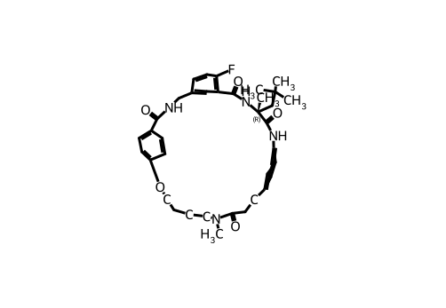 CN1CCCCOc2ccc(cc2)C(=O)NCc2ccc(F)c(c2)C(=O)N[C@](C)(CC(C)(C)C)C(=O)Nc2ccc(cc2)CCC1=O